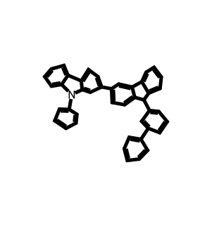 c1ccc(-c2cccc(C3c4ccccc4-c4cc(-c5ccc6c7ccccc7n(-c7ccccc7)c6c5)ccc43)c2)cc1